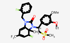 CCOc1cc([C@@H](CS(C)(=O)=O)N2C(=O)N(Cc3ccccc3F)C3=CC(C(F)(F)F)=CC(F)C32C)ccc1OC